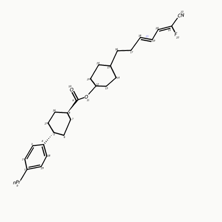 CCCc1ccc([C@H]2CC[C@H](C(=O)OC3CCC(CC/C=C/C=C(F)C#N)CC3)CC2)cc1